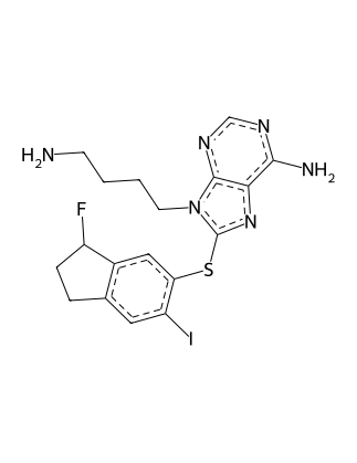 NCCCCn1c(Sc2cc3c(cc2I)CCC3F)nc2c(N)ncnc21